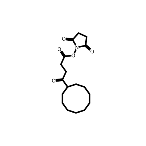 O=C(CCC(=O)C1CCCCCCCCC1)ON1C(=O)CCC1=O